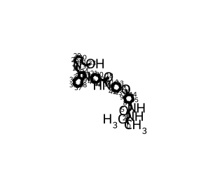 CC(C)NC(=O)Nc1ccc(Oc2ccc(NC(=O)c3ccc(-n4cc(CN5CCCC5CO)c5ccccc54)cc3)cc2)cc1